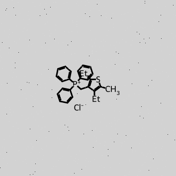 CCc1sc(C)c(CC)c1C[P+](c1ccccc1)(c1ccccc1)c1ccccc1.[Cl-]